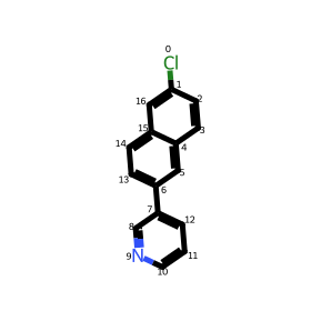 Clc1ccc2cc(-c3[c]nccc3)ccc2c1